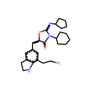 CCCc1cc(/C=C2/O/C(=N/C3CCCC3)N(C3CCCCC3)C2=O)cc2c1NCC2